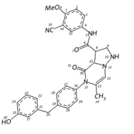 COc1ccc(NC(=O)C2CNN3C=C(C)N(c4ccc(Cc5cccc(O)c5)cc4)C(=O)C23)cc1C#N